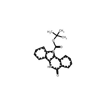 CC(C)(C)OC(=O)n1c2ccccc2c2[nH]c(=O)c3ccccc3c21